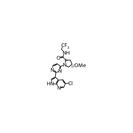 CO[C@H]1C[C@H](C(=O)NCC(F)(F)F)N(c2ccnc(-c3c[nH]c4ncc(Cl)cc34)n2)C1